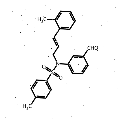 Cc1ccc(S(=O)(=O)N(CC=Cc2ccccc2C)c2cccc(C=O)c2)cc1